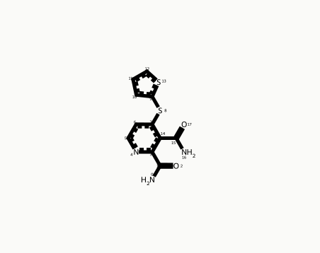 NC(=O)c1nccc(Sc2cccs2)c1C(N)=O